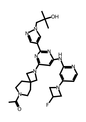 CC(=O)N1CCC2(CC1)CN(c1cc(Nc3cc(N4CC(F)C4)ccn3)nc(-c3cnn(CC(C)(C)O)c3)n1)C2